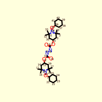 CC1(C)CC(OC(=O)/N=N/C(=O)OC2CC(C)(C)N(OC3CCCCC3)C(C)(C)C2)CC(C)(C)N1OC1CCCCC1